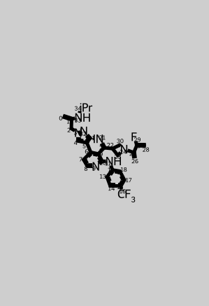 C=C(Cn1cc(-c2ccnc(Nc3ccc(C(F)(F)F)cc3)c2C(=N)C2CN(C(=C)C(=C)F)C2)cn1)NC(C)C